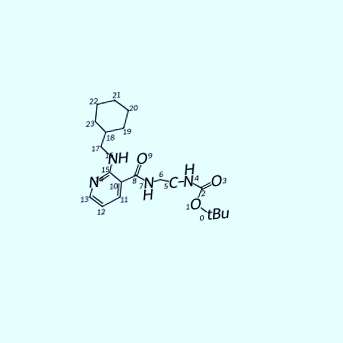 CC(C)(C)OC(=O)NCCNC(=O)c1cccnc1NCC1CCCCC1